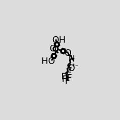 CN(CCC[S+]([O-])CCCC(F)(F)C(F)(F)F)CCOc1ccc(C2c3ccc(O)cc3OCC2(C)c2ccc(O)cc2)cc1